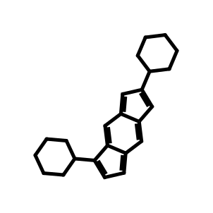 C1=C(C2CCCCC2)C=c2cc3c(cc21)=CC=C3C1CCCCC1